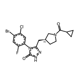 O=C(C1CC1)N1CC[C@@H](Cc2n[nH]c(=O)n2-c2cc(Cl)c(Br)cc2F)C1